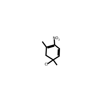 CC1=C([N+](=O)[O-])C=CC(C)(Cl)C1